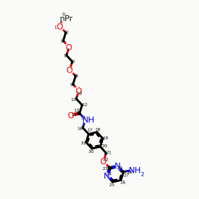 CCCOCCOCCOCCOCCC(=O)NCc1ccc(COc2nccc(N)n2)cc1